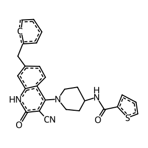 N#Cc1c(N2CCC(NC(=O)c3cccs3)CC2)c2ccc(Cc3ccccc3)cc2[nH]c1=O